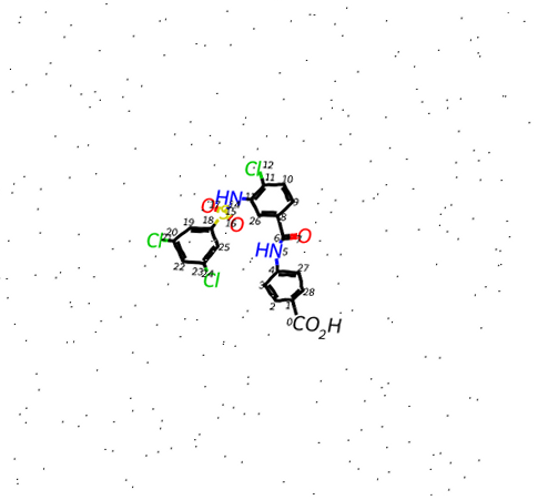 O=C(O)c1ccc(NC(=O)c2ccc(Cl)c(NS(=O)(=O)c3cc(Cl)cc(Cl)c3)c2)cc1